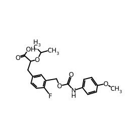 COc1ccc(NC(=O)OCc2cc(CC(OC(C)C)C(=O)O)ccc2F)cc1